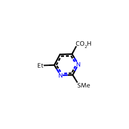 CCc1cc(C(=O)O)nc(SC)n1